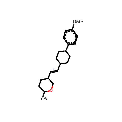 CCCC1CCC(/C=C/C2CCC(c3ccc(OC)cc3)CC2)CO1